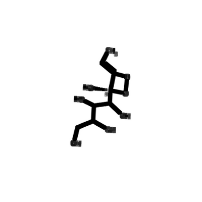 CC=C1OO[C@@]1(O)C(O)C(O)C(O)CO